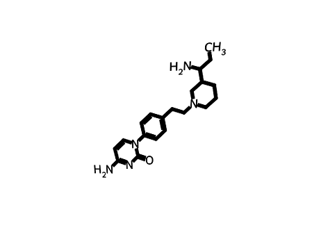 CCC(N)C1CCCN(CCc2ccc(-n3ccc(N)nc3=O)cc2)C1